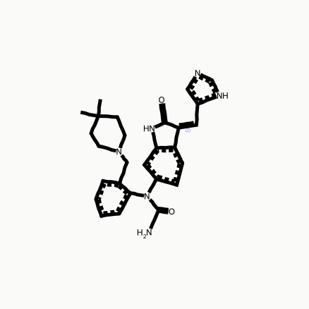 CC1(C)CCN(Cc2ccccc2N(C(N)=O)c2ccc3c(c2)NC(=O)/C3=C\c2cnc[nH]2)CC1